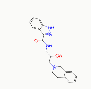 O=C(NCC(O)CN1CCc2ccccc2C1)c1n[nH]c2ccccc12